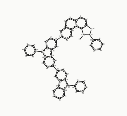 CN1c2c(ccc3ccc4cc(-c5ccc6c(c5)c5cc(-c7ccc8c(c7)c7ccccc7n8-c7ccccc7)ccc5n6-c5ccccc5)ccc4c23)SC1c1ccccc1